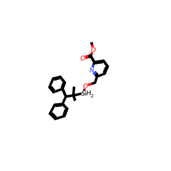 COC(=O)c1cccc(CO[SiH2]C(C)(C)C(c2ccccc2)c2ccccc2)n1